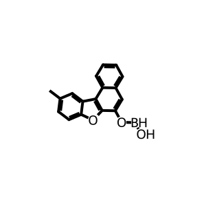 Cc1ccc2oc3c(OBO)cc4ccccc4c3c2c1